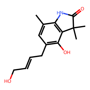 Cc1cc(CC=CCO)c(O)c2c1NC(=O)C2(C)C